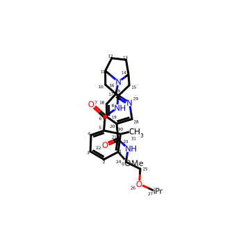 COc1cccc(C(=O)NC2CC3CCC(C2)N3c2ccc(C(=O)NCCOC(C)C)cn2)c1C